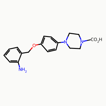 Nc1ccccc1COc1ccc(N2CCN(C(=O)O)CC2)cc1